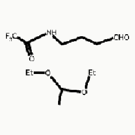 CCOC(C)OCC.O=CCCCNC(=O)C(F)(F)F